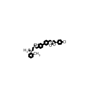 Cc1ccccc1N(C)CCN(C)Cc1ccc(-c2ccc(CN3C[C@@H](c4ccc(Cl)cc4)OC3=O)cc2)cc1